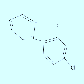 Clc1ccc(-c2[c]cccc2)c(Cl)c1